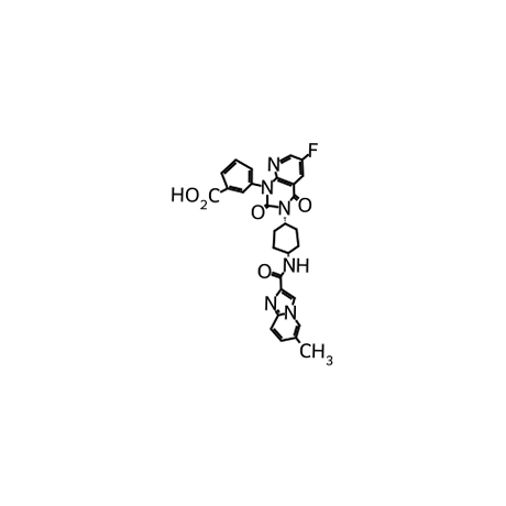 Cc1ccc2nc(C(=O)N[C@H]3CC[C@@H](n4c(=O)c5cc(F)cnc5n(-c5cccc(C(=O)O)c5)c4=O)CC3)cn2c1